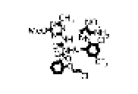 COc1nc(C)nc(NC(=O)NS(=O)(=O)c2ccccc2OCCCl)n1.Nc1c([N+](=O)[O-])cnn1-c1c(Cl)cc(C(F)(F)F)cc1Cl